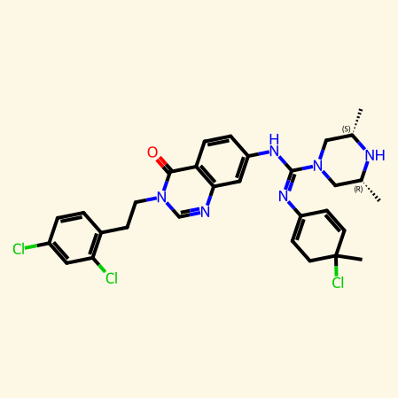 C[C@@H]1CN(C(=NC2=CCC(C)(Cl)C=C2)Nc2ccc3c(=O)n(CCc4ccc(Cl)cc4Cl)cnc3c2)C[C@H](C)N1